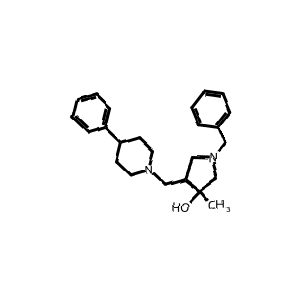 CC1(O)CN(Cc2ccccc2)CC1CN1CCC(c2ccccc2)CC1